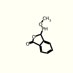 COPC1OC(=O)c2ccccc21